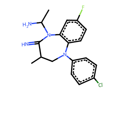 CC1CN(c2ccc(Cl)cc2)c2ccc(F)cc2N(C(C)N)C1=N